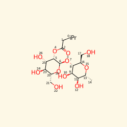 CC(C)CC(=O)O[C@@H]1[C@@H](O[C@H]2[C@H](O)[C@H](O)[C@@H](C)O[C@@H]2CO)O[C@H](CO)[C@@H](O)[C@@H]1O